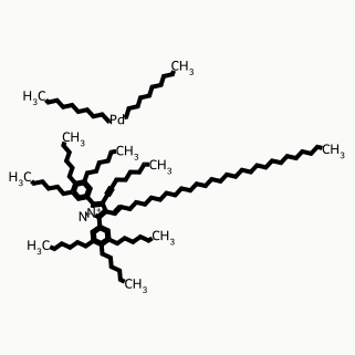 CCCCCCC#CC1=C(c2cc(CCCCCC)c(CCCCCC)c(CCCCCC)c2)[N+](=[N-])C(c2cc(CCCCCC)c(CCCCCC)c(CCCCCC)c2)=C1C=CCCCCCCCCCCCCCCCCCCCCCCCCCCC.CCCCCCCCC[CH2][Pd][CH2]CCCCCCCCC